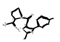 Cc1ccc(-c2nc(C)sc2C(=O)N2CCC2C(N)=O)cc1